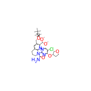 COC(OC)c1nc2c(cc1CO[Si](C)(C)C(C)(C)C)CCC[N@@+]2(C(N)=O)c1ncc(Cl)c(OC2CCOC2)n1